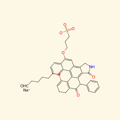 O=CCCCCCOC1=CCCC2=C1c1c(c3c(c4cc(OCCCS(=O)(=O)[O-])c5ccccc5c14)CNC3=O)C(c1ccccc1)C2=O.[Na+]